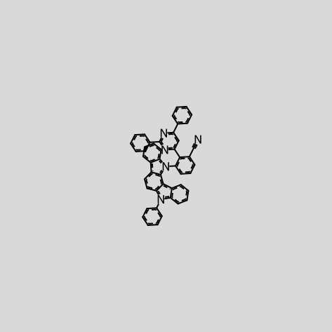 N#Cc1cccc(-n2c3ccccc3c3ccc4c(c5ccccc5n4-c4ccccc4)c32)c1-c1cc(-c2ccccc2)nc(-c2ccccc2)n1